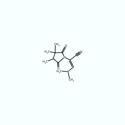 CC1C(=O)N(/C(C#N)=C\N(C)C)C(=O)C1(C)C